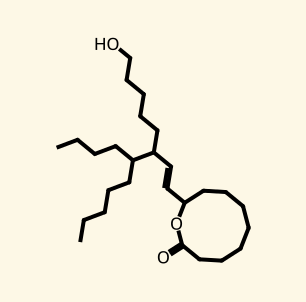 CCCCCC(CCCC)C(/C=C/C1CCCCCCCC(=O)O1)CCCCCO